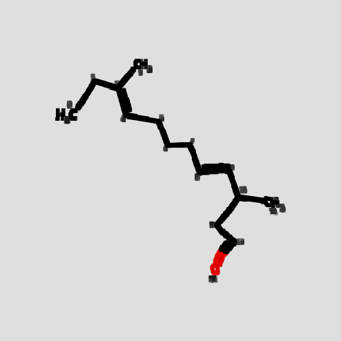 CCC(C)=CCCCC=CC(C)C[C]=O